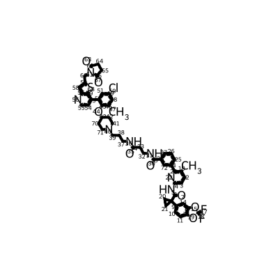 Cc1ccc(NC(=O)C2(c3ccc4c(c3)OC(F)(F)O4)CC2)nc1-c1cccc(C(=O)NCCC(=O)NCCCN2CCC(Oc3c(C)cc(Cl)cc3-c3ccnc4cc(CN5C(=O)CCC5=O)sc34)CC2)c1